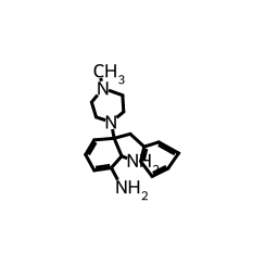 CN1CCN(C2(Cc3ccccc3)C=CC=C(N)C2N)CC1